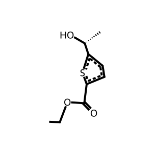 CCOC(=O)c1ccc([C@@H](C)O)s1